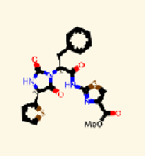 COC(=O)c1csc(NC(=O)[C@H](Cc2ccccc2)N2C(=O)N[C@H](c3cccs3)C2=O)n1